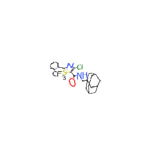 O=C(NCC12CC3CC(CC(C3)C1)C2)c1sc(-c2ccccc2C(F)(F)F)nc1Cl